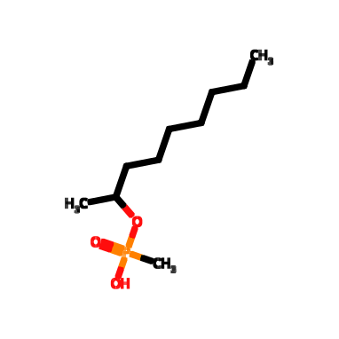 CCCCCCCC(C)OP(C)(=O)O